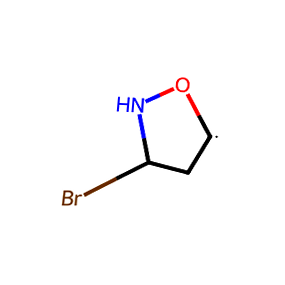 BrC1C[CH]ON1